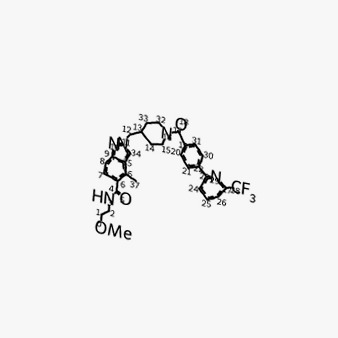 COCCNC(=O)c1ccc2nn(CC3CCN(C(=O)c4ccc(-c5cccc(C(F)(F)F)n5)cc4)CC3)cc2c1C